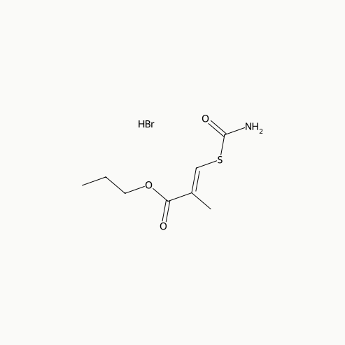 Br.CCCOC(=O)C(C)=CSC(N)=O